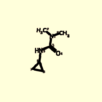 CN(C)C(=O)NC1CC1